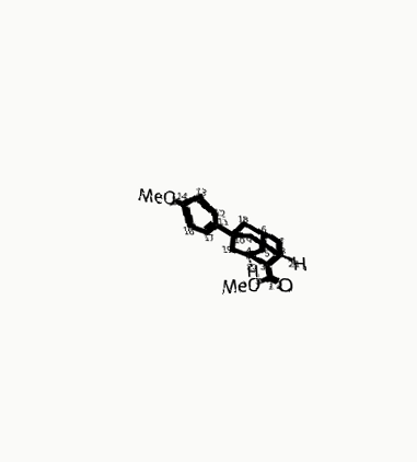 COC(=O)C1[C@@H]2CC3C[C@H]1CC(c1ccc(OC)cc1)(C3)C2